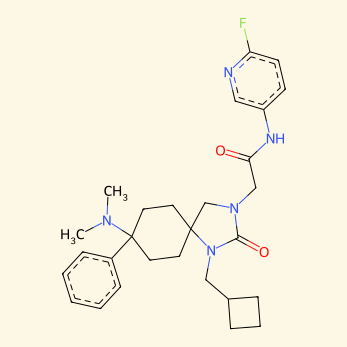 CN(C)C1(c2ccccc2)CCC2(CC1)CN(CC(=O)Nc1ccc(F)nc1)C(=O)N2CC1CCC1